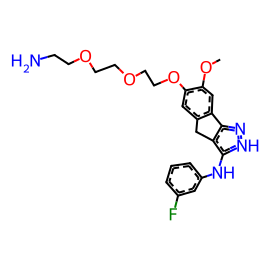 COc1cc2c(cc1OCCOCCOCCN)Cc1c-2n[nH]c1Nc1cccc(F)c1